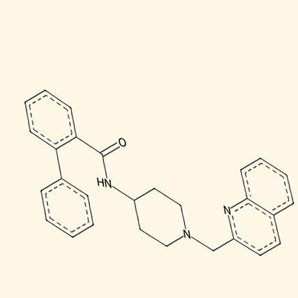 O=C(NC1CCN(Cc2ccc3ccccc3n2)CC1)c1ccccc1-c1ccccc1